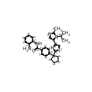 Cc1ncc(-c2csc(C3(c4ccc(C(=O)Nc5ccccc5N)cc4)CCCC3)n2)n1C(C)C